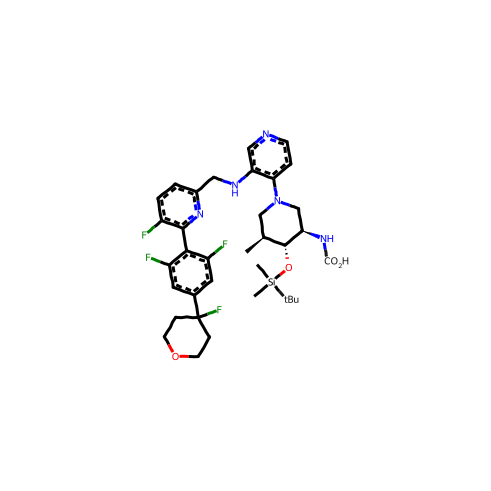 C[C@H]1CN(c2ccncc2NCc2ccc(F)c(-c3c(F)cc(C4(F)CCOCC4)cc3F)n2)C[C@@H](NC(=O)O)[C@@H]1O[Si](C)(C)C(C)(C)C